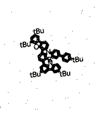 CC(C)(C)c1ccc(-c2ccc3c(c2)B2c4c(ccc5c6c7oc8c(C(C)(C)C)cc(C(C)(C)C)cc8c7ccc6n-3c45)-c3cc(C(C)(C)C)cc4c5cc(C(C)(C)C)ccc5n2c34)cc1